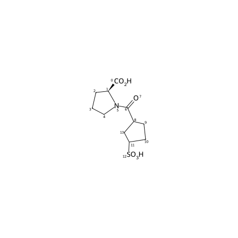 O=C(O)[C@@H]1CCCN1C(=O)C1CCC(S(=O)(=O)O)C1